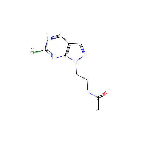 CC(=O)NCCn1ncc2cnc(Cl)nc21